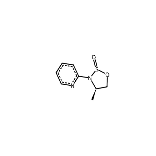 C[C@@H]1COS(=O)N1c1ccccn1